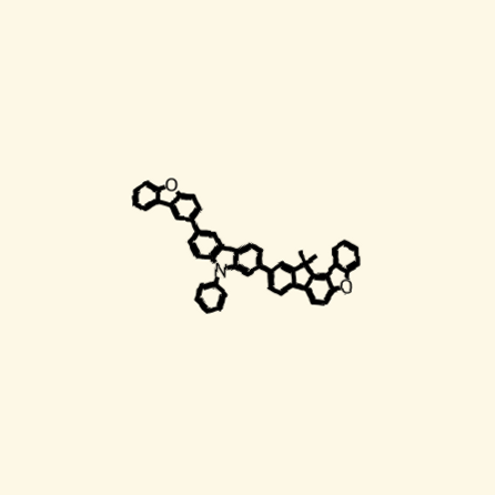 CC1(C)c2cc(-c3ccc4c5cc(-c6ccc7oc8ccccc8c7c6)ccc5n(-c5ccccc5)c4c3)ccc2-c2ccc3oc4ccccc4c3c21